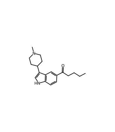 CCCCC(=O)c1ccc2[nH]cc(C3CCN(C)CC3)c2c1